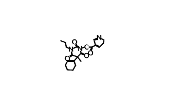 CCCN1C(=O)N(CC(=O)C2=CCCN=C2)C(=O)C(C)(C2=CCCCC2)C1=O